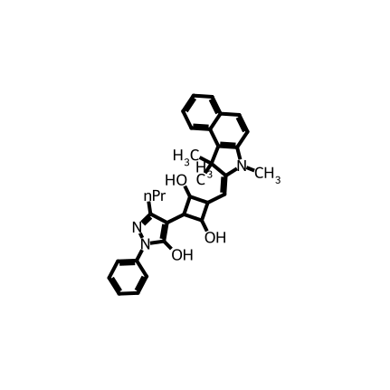 CCCc1nn(-c2ccccc2)c(O)c1C1C(O)C(C=C2N(C)c3ccc4ccccc4c3C2(C)C)C1O